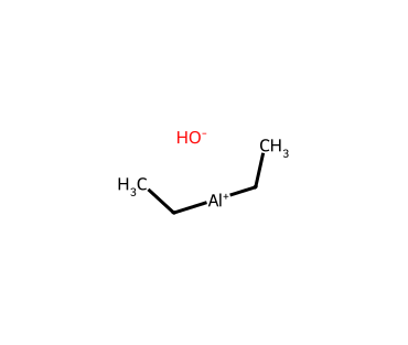 C[CH2][Al+][CH2]C.[OH-]